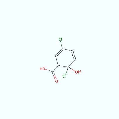 O=C(O)C1C=C(Cl)C=CC1(O)Cl